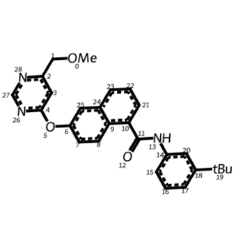 COCc1cc(Oc2ccc3c(C(=O)Nc4cccc(C(C)(C)C)c4)cccc3c2)ncn1